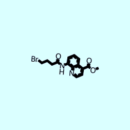 COC(=O)c1ccnc2c(NC(=O)CCCBr)cccc12